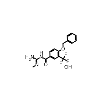 CN=C(N)NC(=O)c1ccc(OCc2ccccc2)c(C(F)(F)F)c1.Cl